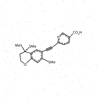 CSc1cc2c(cc1C#Cc1ccc(C(=O)O)cn1)C(SC)(SC)CCO2